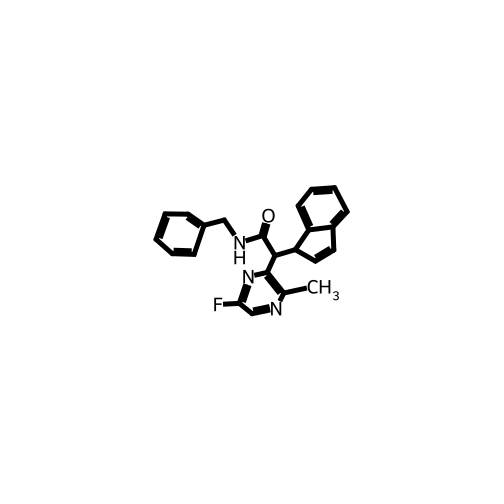 Cc1ncc(F)nc1C(C(=O)NCc1ccccc1)C1C=Cc2ccccc21